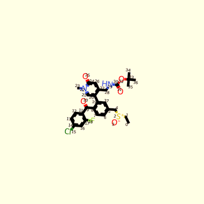 CC[S+]([O-])Cc1ccc(C(=O)c2ccc(Cl)cc2F)c(-c2cn(C)c(=O)cc2CNC(=O)OC(C)(C)C)c1